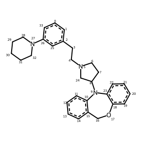 c1cc(CCN2CCC(N3c4ccccc4COc4ccccc43)C2)cc(N2CCCCC2)c1